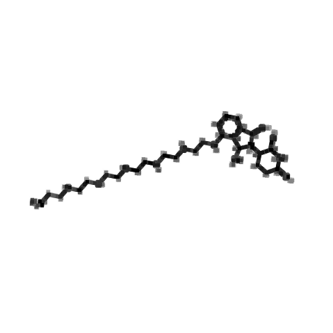 NCCOCCOCCOCCOCCOCCOc1cccc2c1C(O)N(C1CCC(=O)NC1=O)C2=O